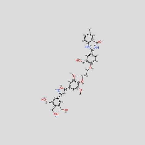 COc1cc(-c2cc(-c3cc(CO)c(CO)c(CO)c3)no2)cc(OC)c1OCCCOc1ccc(C2NC(=O)c3cc(C)ccc3N2)cc1CO